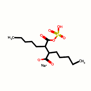 CCCCCC(C(=O)[O-])C(CCCCC)C(=O)OS(=O)(=O)O.[Na+]